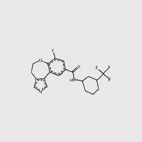 O=C(NC1CCCC(C(F)(F)F)C1)c1cc(F)c2c(c1)-c1cncn1CCO2